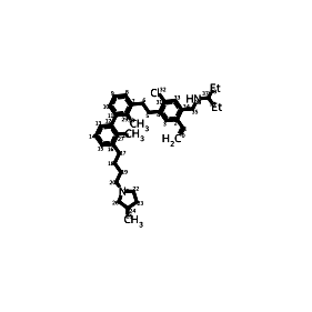 C=Cc1cc(CCc2cccc(-c3cccc(CCCCN4CCC(C)C4)c3C)c2C)c(Cl)cc1CNC(CC)CC